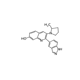 CC1CCCN1c1cc2ccc(O)cc2nc1-c1ccc2[nH]ncc2c1